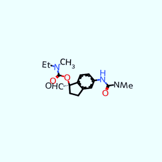 CCN(C)C(=O)O[C@]1(C=O)CCc2cc(NC(=O)NC)ccc21